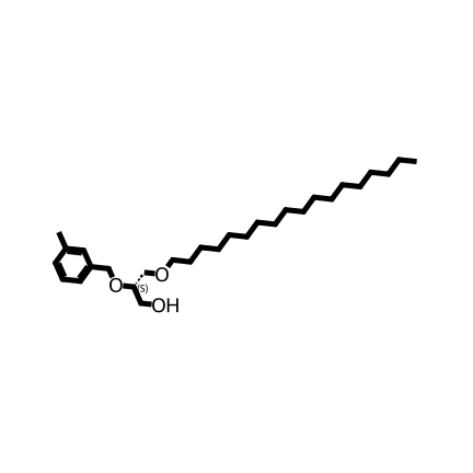 CCCCCCCCCCCCCCCCCCOC[C@H](CO)OCc1cccc(C)c1